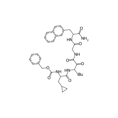 CCC(C)C(NC(=O)C(CC1CC1)NC(=O)OCc1ccccc1)C(=O)C(=O)NCC(=O)NC(Cc1ccc2ccccc2c1)C(N)=O